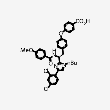 CCCCn1cc(-c2ccc(Cl)cc2Cl)nc1[C@H](Cc1ccc(Oc2ccc(C(=O)O)cc2)cc1)NC(=O)c1ccc(OC)cc1